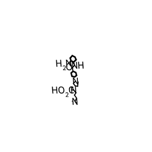 CN(C)CCCN(C(=O)O)C1CCN(c2ccc(C(=O)Nc3ccccc3N)cc2)C1